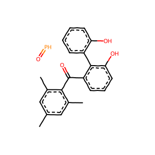 Cc1cc(C)c(C(=O)c2cccc(O)c2-c2ccccc2O)c(C)c1.O=P